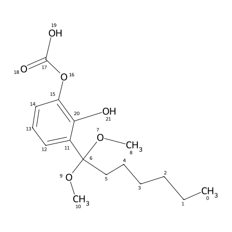 CCCCCCC(OC)(OC)c1cccc(OC(=O)O)c1O